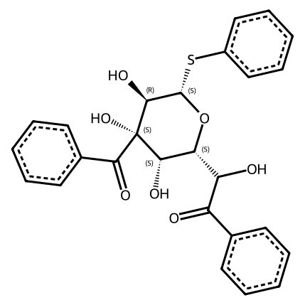 O=C(c1ccccc1)C(O)[C@H]1O[C@@H](Sc2ccccc2)[C@H](O)[C@](O)(C(=O)c2ccccc2)[C@H]1O